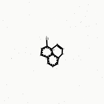 CCc1ccc2cccc3c2c1C=CC3